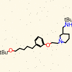 CC(C)(C)NCC1CCCN(CCOc2cccc(CCCCCOC(C)(C)C)c2)C1